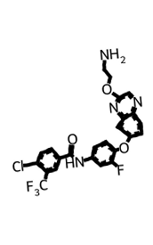 NCCOc1cnc2ccc(Oc3ccc(NC(=O)c4ccc(Cl)c(C(F)(F)F)c4)cc3F)cc2n1